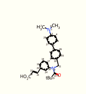 CN(C)c1ccc(-c2ccc(CN(C(=O)C(C)(C)C)c3cccc(C=CC(=O)O)c3)cc2)cc1